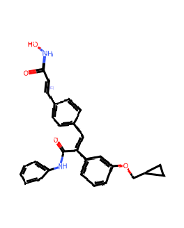 O=C(/C=C/c1ccc(C=C(C(=O)Nc2ccccc2)c2cccc(OCC3CC3)c2)cc1)NO